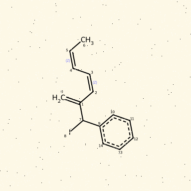 C=C(/C=C\C=C/C)C(I)c1ccccc1